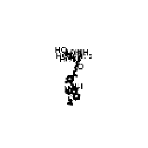 Cc1ccc(C(C)CCCC(=O)N(CCC(N)=O)CC(O)C(O)C(O)C(O)CO)cc1CNC1(c2cnccc2-c2ccccc2OC2CC2)CC1